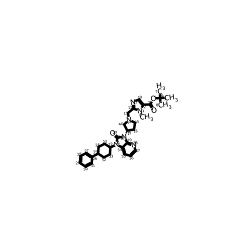 Cn1c(C(=O)OC(C)(C)C)cnc1CN1CC[C@H](n2c(=O)n(C3CCC(c4ccccc4)CC3)c3cccnc32)C1